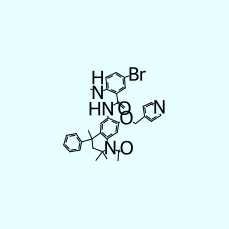 CNc1ccc(Br)cc1C(=O)Nc1cc2c(cc1OCc1ccncc1)N(C(C)=O)C(C)(C)CC2(C)c1ccccc1